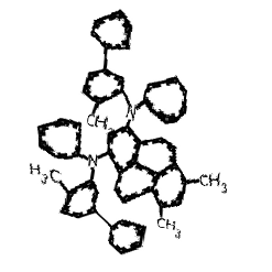 Cc1ccc(-c2ccccc2)cc1N(c1ccccc1)c1cc(N(c2ccccc2)c2cc(-c3ccccc3)ccc2C)c2ccc3c(C)cc(C)c4ccc1c2c43